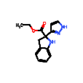 CCOC(=O)C1(c2cc[nH]n2)Cc2ccccc2N1